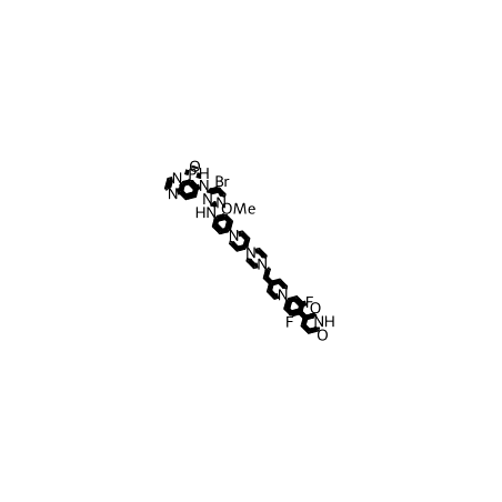 COc1cc(N2CCC(N3CCN(CCC4CCN(c5cc(F)c(C6CCC(=O)NC6=O)c(F)c5)CC4)CC3)CC2)ccc1Nc1ncc(Br)c(Nc2ccc3nccnc3c2P(C)(C)=O)n1